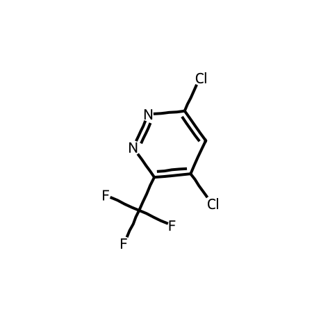 FC(F)(F)c1nnc(Cl)cc1Cl